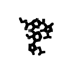 CCOC(=O)c1cnc(Nc2c(C)nn(C(C)C)c2C)nc1Nc1cccc(-c2ncn(C)[n+]2CC(C)C)c1OC